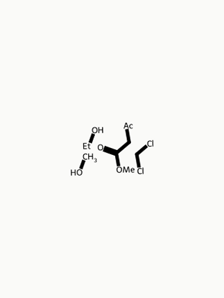 CCO.CO.COC(=O)CC(C)=O.ClCCl